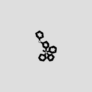 CP(c1ccccc1)(c1ccccc1)(c1ccccc1)c1cccc(Oc2ccccc2)c1